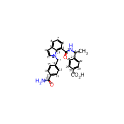 C[C@H](NC(=O)c1cccc2ccn(Cc3ccc(C(N)=O)cc3)c12)c1ccc(C(=O)O)cc1